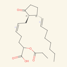 CCCCCC/C=C/[C@H]1CCC(=O)[C@@H]1C/C=C\CCC(OC(=O)CC)C(=O)O